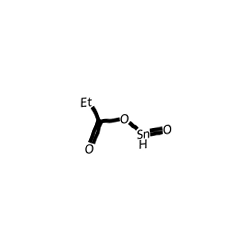 CCC(=O)[O][SnH]=[O]